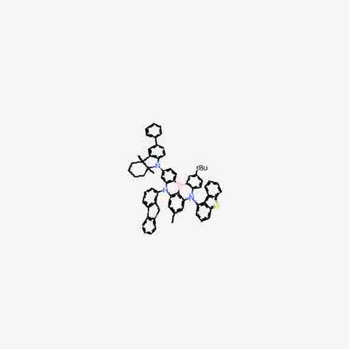 Cc1cc2c3c(c1)N(c1cccc4sc5ccccc5c14)c1ccc(C(C)(C)C)cc1B3c1ccc(N3c4ccc(-c5ccccc5)cc4C4(C)CCCCC34C)cc1N2c1cccc2c1Cc1ccccc1-2